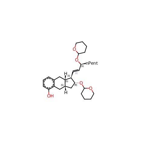 CCCCC[C@@H](/C=C/[C@@H]1[C@H]2Cc3cccc(O)c3C[C@H]2C[C@H]1OC1CCCCO1)OC1CCCCO1